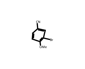 COc1c[c]c(C#N)cc1Br